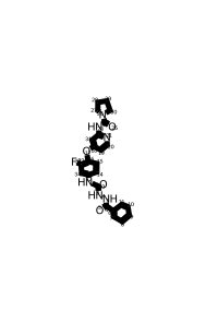 O=C(NNC(=O)c1ccccc1)Nc1ccc(Oc2ccnc(NC(=O)N3CCCC3)c2)c(F)c1